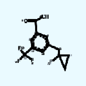 O=C(O)c1cc(CC2(F)CC2)cc(C(F)(F)F)c1